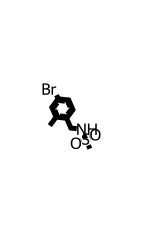 Cc1cc(Br)ccc1CNS(C)(=O)=O